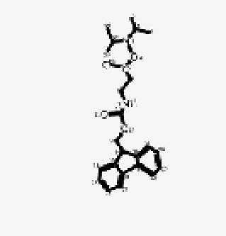 CC(C)N(OP(Cl)CCNC(=O)OCC1c2ccccc2-c2ccccc21)C(C)C